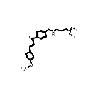 COc1ccc(/C=C/C(=O)c2ccc(CNCCCN(C)C)cc2)cc1